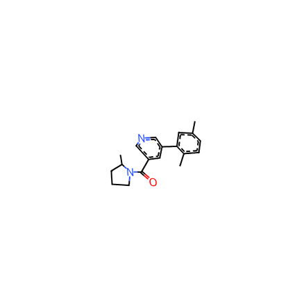 Cc1ccc(C)c(-c2cncc(C(=O)N3CCCC3C)c2)c1